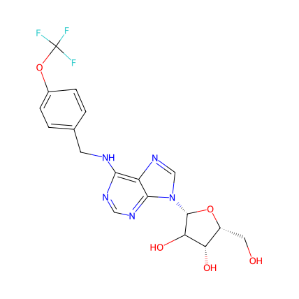 OC[C@H]1O[C@@H](n2cnc3c(NCc4ccc(OC(F)(F)F)cc4)ncnc32)C(O)[C@H]1O